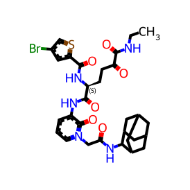 CCNC(=O)C(=O)CC[C@H](NC(=O)c1cc(Br)cs1)C(=O)Nc1cccn(CC(=O)NC2C3CC4CC(C3)CC2C4)c1=O